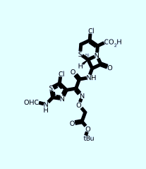 CC(C)(C)OC(=O)CON=C(C(=O)NC1C(=O)N2C(C(=O)O)=C(Cl)CS[C@@H]12)c1nc(NC=O)sc1Cl